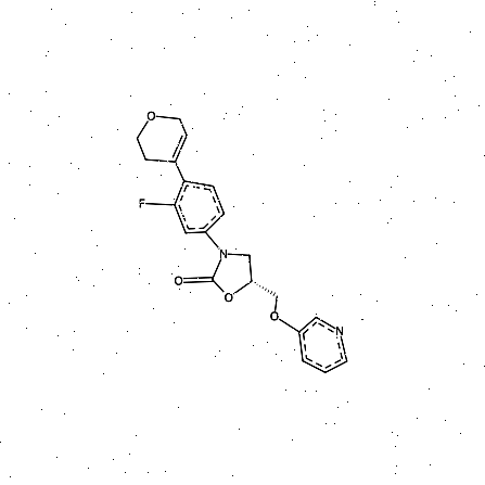 O=C1O[C@@H](COc2cccnc2)CN1c1ccc(C2=CCOCC2)c(F)c1